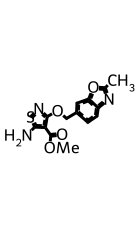 COC(=O)c1c(OCc2ccc3nc(C)oc3c2)nsc1N